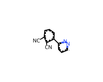 N#Cc1cccc(-c2cc[c]nn2)c1C#N